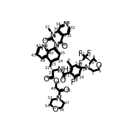 Cc1cc(N2CCOC[C@@H]2C(F)(F)F)cc(F)c1C(=O)N[C@@H](Cc1ccc(-n2c(=O)c3ccncc3n(C)c2=O)c2ncccc12)C(=O)OCC(=O)N1CCOCC1